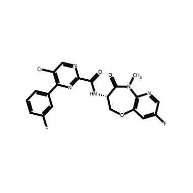 CN1C(=O)[C@@H](NC(=O)c2ncc(Cl)c(-c3cccc(F)c3)n2)COc2cc(F)cnc21